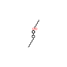 CCCCCCCCC1CC=C(c2ccc(OC(=O)CCCCCCC)cc2)CC1